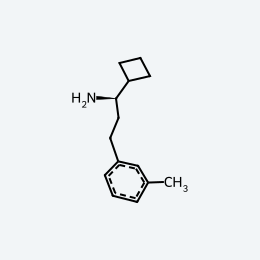 Cc1cccc(CC[C@@H](N)C2CCC2)c1